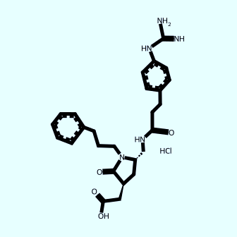 Cl.N=C(N)Nc1ccc(CCC(=O)NC[C@@H]2C[C@@H](CC(=O)O)C(=O)N2CCCc2ccccc2)cc1